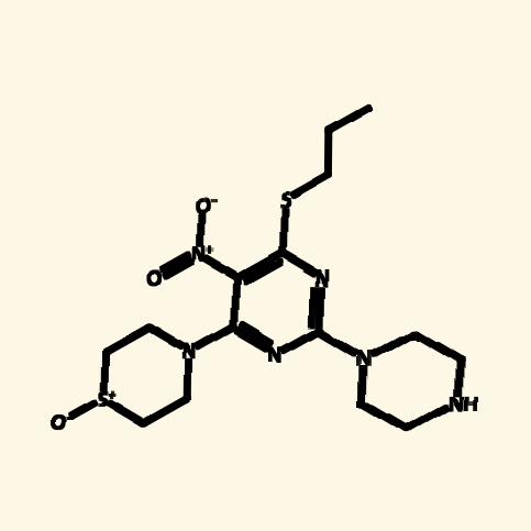 CCCSc1nc(N2CCNCC2)nc(N2CC[S+]([O-])CC2)c1[N+](=O)[O-]